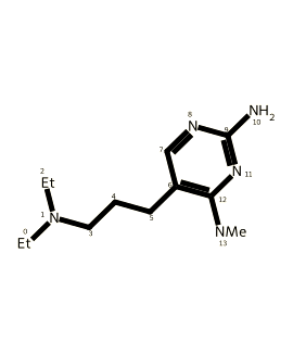 CCN(CC)CCCc1cnc(N)nc1NC